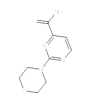 NC(=O)c1ccnc(N2CCOCC2)n1